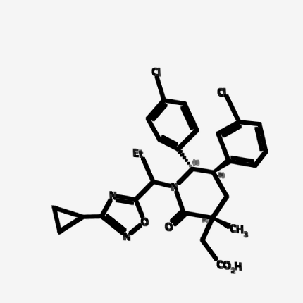 CCC(c1nc(C2CC2)no1)N1C(=O)[C@@](C)(CC(=O)O)C[C@H](c2cccc(Cl)c2)[C@H]1c1ccc(Cl)cc1